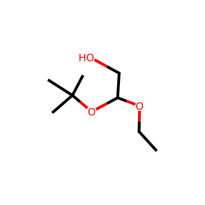 CCOC(CO)OC(C)(C)C